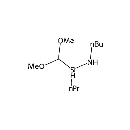 CCCCN[SiH](CCC)C(OC)OC